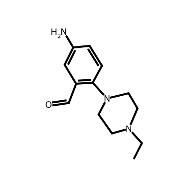 CCN1CCN(c2ccc(N)cc2C=O)CC1